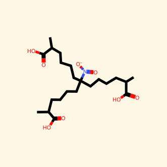 CC(CCCCC(CCCCC(C)C(=O)O)(CCCCC(C)C(=O)O)[N+](=O)[O-])C(=O)O